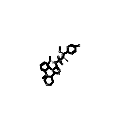 COc1cccc(OC)c1-n1c(NS(=O)(=O)[C@@H](C)[C@H](OC)c2ncc(Cl)cn2)nnc1C1CCOCC1